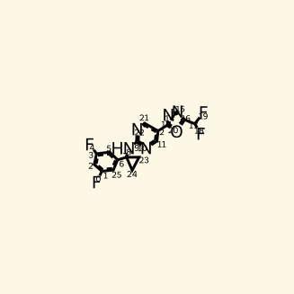 Fc1cc(F)cc(C2(Nc3ncc(-c4nnc(C(F)F)o4)cn3)CC2)c1